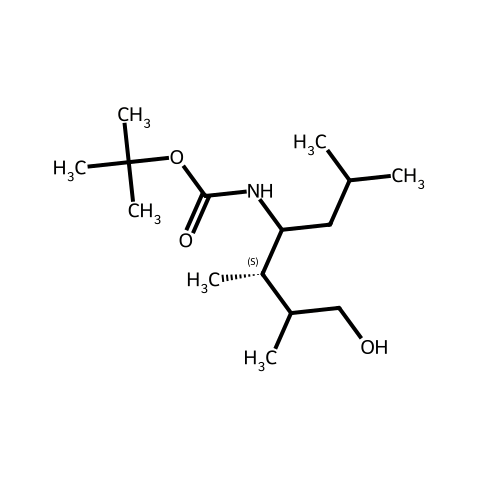 CC(C)CC(NC(=O)OC(C)(C)C)[C@@H](C)C(C)CO